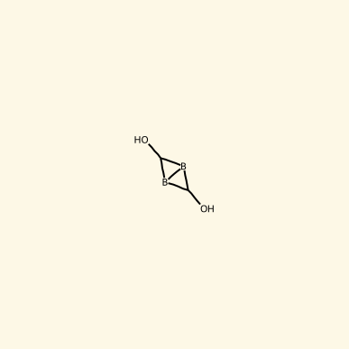 OC1B2B1C2O